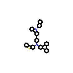 c1ccc2cc(-n3c4ccccc4c4cc(-c5ccc(N(c6ccc7sc8ccccc8c7c6)c6ccc7c8ccccc8c8ccccc8c7c6)cc5)ccc43)ccc2c1